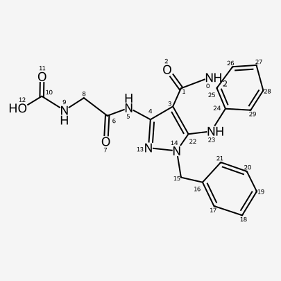 NC(=O)c1c(NC(=O)CNC(=O)O)nn(Cc2ccccc2)c1Nc1ccccc1